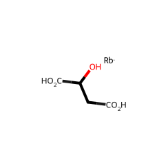 O=C(O)CC(O)C(=O)O.[Rb]